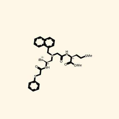 CC[C@H](C)[C@@H](CN(CC(=O)N[C@@H](CCSC)C(=O)OC)Cc1cccc2ccccc12)NC(=O)CSc1ccccc1